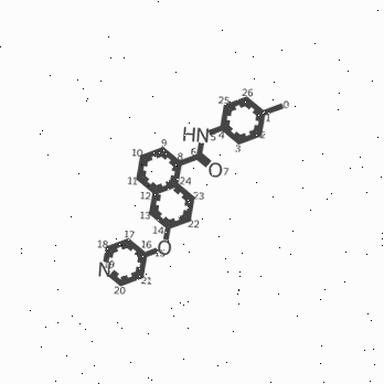 Cc1ccc(NC(=O)c2cccc3cc(Oc4ccncc4)ccc23)cc1